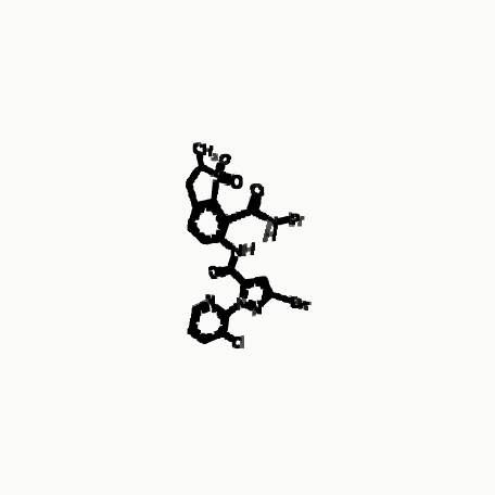 CC(C)NC(=O)c1c(NC(=O)c2cc(Br)nn2-c2ncccc2Cl)ccc2c1S(=O)(=O)C(C)C2